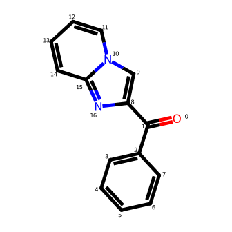 O=C(c1ccccc1)c1cn2ccccc2n1